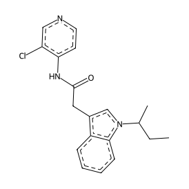 CCC(C)n1cc(CC(=O)Nc2ccncc2Cl)c2ccccc21